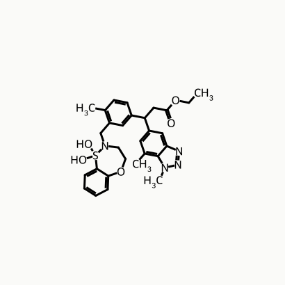 CCOC(=O)CC(c1ccc(C)c(CN2CCOc3ccccc3S2(O)O)c1)c1cc(C)c2c(c1)nnn2C